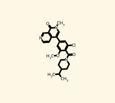 COc1cc(-c2cn(C)c(=O)c3cnccc23)cc(Cl)c1C(=O)N1CCC(C(C)C)CC1